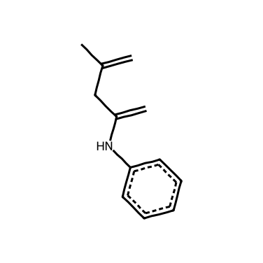 C=C(C)CC(=C)Nc1ccccc1